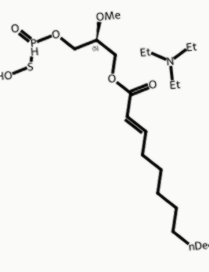 CCCCCCCCCCCCCCCC=CC(=O)OC[C@@H](CO[PH](=O)SO)OC.CCN(CC)CC